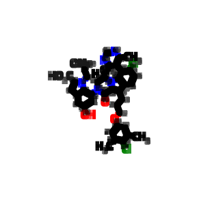 COCCn1c(C(=O)O)cc2cc(O)cc(N3CC(C)n4c(c(CCCOc5cc(C)c(Cl)c(C)c5)c5ccc(Cl)c(-c6c(C)ncnc6C)c54)C3=O)c21